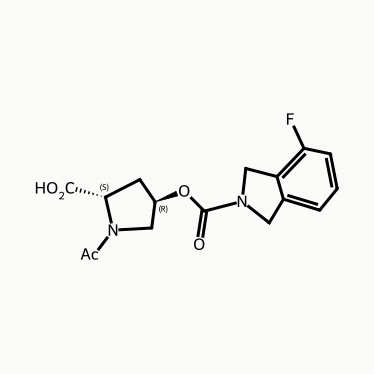 CC(=O)N1C[C@H](OC(=O)N2Cc3cccc(F)c3C2)C[C@H]1C(=O)O